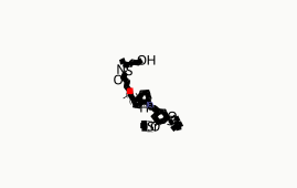 Cc1nc(C(=O)CCC[C@@H](C)[C@H]2CC[C@H]3/C(=C/C=C4C[C@@H](O[Si](C)(C)C(C)(C)C)C[C@H](O[Si](C)(C)C(C)(C)C)C4)CCC[C@]23C)sc1CCO